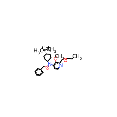 C=CCOCc1nccc(N(OCc2ccccc2)[C@H]2CC[C@@H](C(C)(C)C)CC2)c1OC